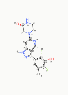 Cn1nc(-c2cc(C(F)(F)F)c(F)c(O)c2F)c2cnc(N3CCNC(=O)C3)cc21